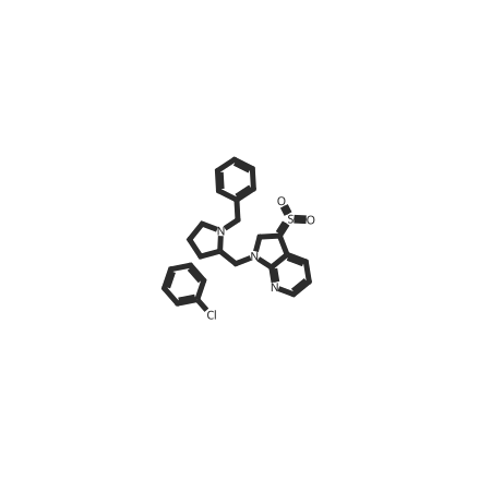 Clc1ccccc1.O=S(=O)=C1CN(CC2CCCN2Cc2ccccc2)c2ncccc21